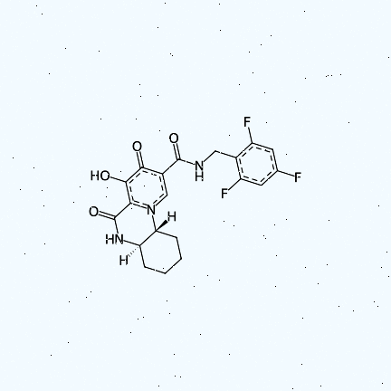 O=C(NCc1c(F)cc(F)cc1F)c1cn2c(c(O)c1=O)C(=O)N[C@@H]1CCCC[C@H]12